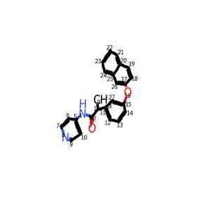 CC(C(=O)Nc1ccncc1)c1cccc(Oc2ccc3ccccc3c2)c1